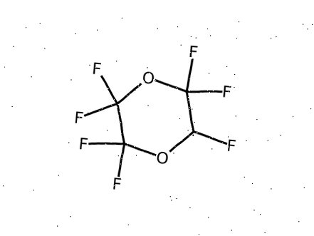 F[C]1OC(F)(F)C(F)(F)OC1(F)F